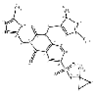 Cc1cc(Cn2c(=O)n(Cc3nnc(C)s3)c(=O)c3cc(S(=O)(=O)NC4(C)CC4)ccc32)n(C)n1